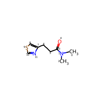 CN(C)C(=O)CCc1cs[c]n1